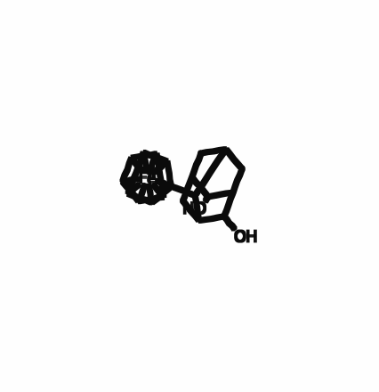 OC1C2CC3CC1C(O)C(C2)C3[C]12[CH]3[CH]4[CH]5[CH]1[Fe]45321678[CH]2[CH]1[CH]6[CH]7[CH]28